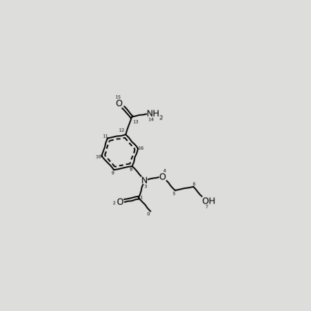 CC(=O)N(OCCO)c1cccc(C(N)=O)c1